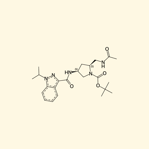 CC(=O)NC[C@@H]1C[C@H](NC(=O)c2nn(C(C)C)c3ccccc23)CN1C(=O)OC(C)(C)C